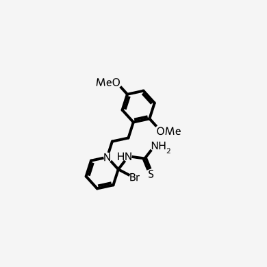 COc1ccc(OC)c(CCN2C=CC=CC2(Br)NC(N)=S)c1